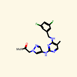 CNC(=O)Cn1cc(Nc2ncc(C)c(NCc3cc(F)cc(F)c3)n2)cn1